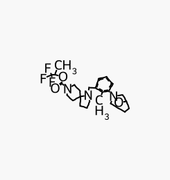 Cc1c(CN2CCCC23CCN(C(=O)OC(C)C(F)(F)F)CC3)cccc1N1CC2CCC(C1)O2